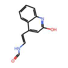 O=CNC=Cc1cc(O)nc2ccccc12